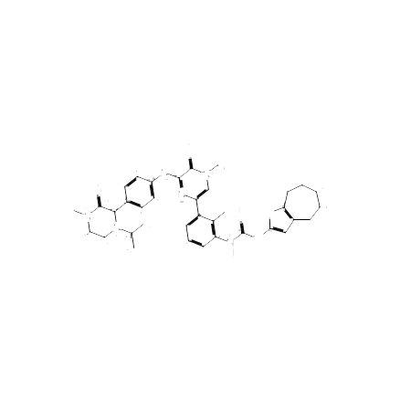 Cc1c(NC(=O)Oc2cc3c(s2)CCCCC3)cccc1-c1cn(C)c(=O)c(Nc2ccc(C3C(=O)N(C)CCN3C(C)C)cc2)n1